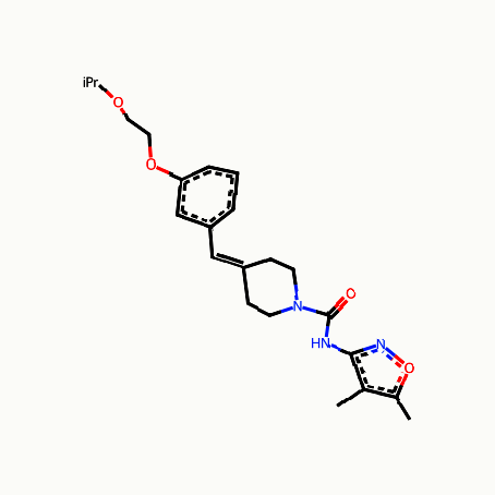 Cc1onc(NC(=O)N2CCC(=Cc3cccc(OCCOC(C)C)c3)CC2)c1C